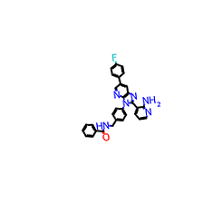 Nc1ncccc1-c1nc2cc(-c3ccc(F)cc3)cnc2n1-c1ccc(CNC(=O)c2ccccc2)cc1